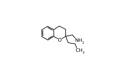 CCCC1(CN)CCc2ccccc2O1